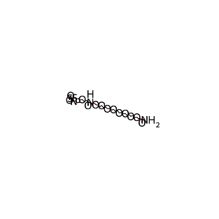 CS(=O)(=O)c1nc2ccc(OCCC(=O)NCCOCCOCCOCCOCCOCCOCCOCCOCCC(N)=O)cc2s1